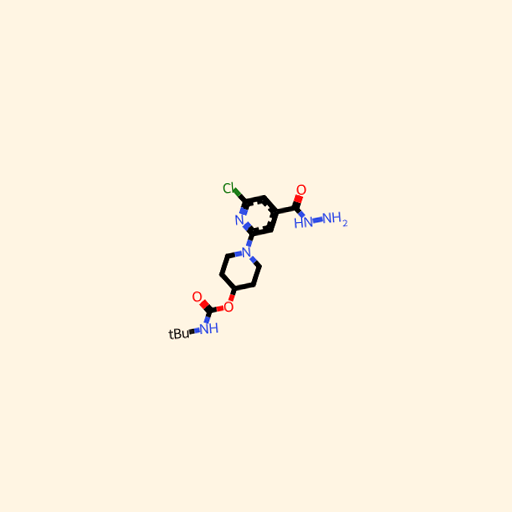 CC(C)(C)NC(=O)OC1CCN(c2cc(C(=O)NN)cc(Cl)n2)CC1